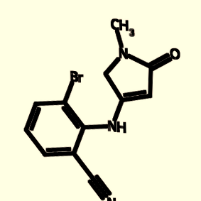 CN1CC(Nc2c(Br)cccc2C#N)=CC1=O